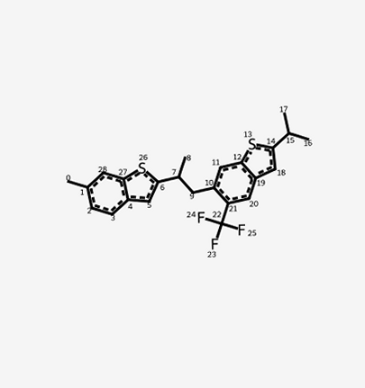 Cc1ccc2cc(C(C)Cc3cc4sc(C(C)C)cc4cc3C(F)(F)F)sc2c1